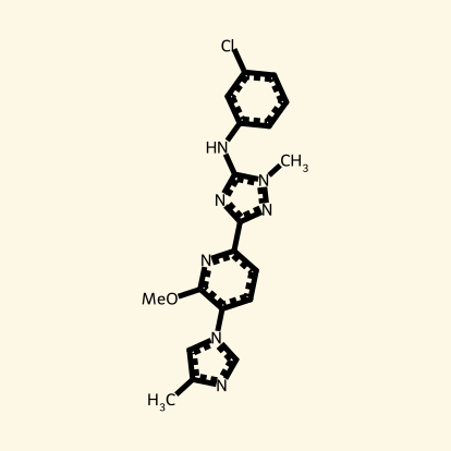 COc1nc(-c2nc(Nc3cccc(Cl)c3)n(C)n2)ccc1-n1cnc(C)c1